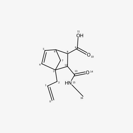 C=CCC12C=CC(C1)C(C(=O)O)C2C(=O)NC